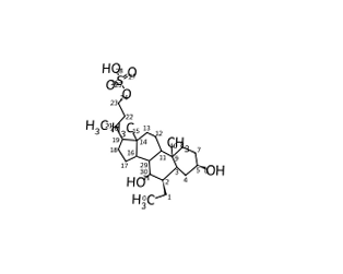 CC[C@@H]1C2C[C@H](O)CCC2(C)C2CCC3(C)C(CCC3[C@H](C)CCOS(=O)(=O)O)C2[C@@H]1O